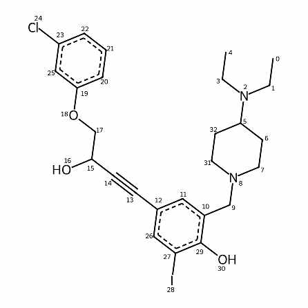 CCN(CC)C1CCN(Cc2cc(C#CC(O)COc3cccc(Cl)c3)cc(I)c2O)CC1